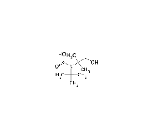 CC(C)(C)N(C(=O)O)C(C)(C)CO